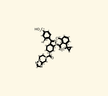 O=C(O)c1ccc(-c2nn(C(=O)c3c(Cl)cccc3C3(C(F)(F)F)CC3)c3c2CC[C@H](C(=O)N2CCn4ncnc4C2)C3)c(F)c1